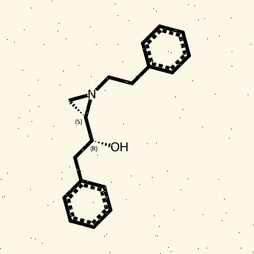 O[C@H](Cc1ccccc1)[C@@H]1CN1CCc1ccccc1